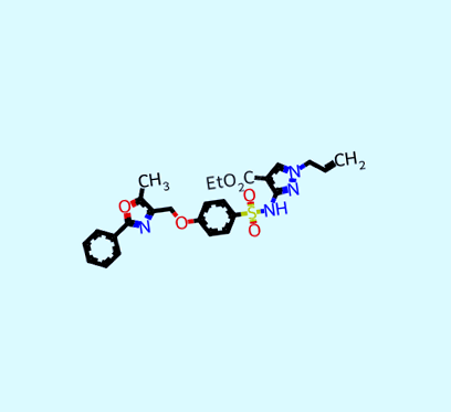 C=CCn1cc(C(=O)OCC)c(NS(=O)(=O)c2ccc(OCc3nc(-c4ccccc4)oc3C)cc2)n1